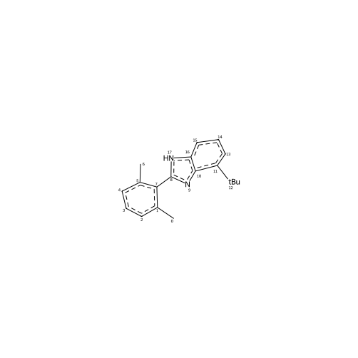 Cc1cccc(C)c1-c1nc2c(C(C)(C)C)cccc2[nH]1